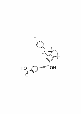 CN(Cc1ccc(F)cc1)c1cc(C(O)C#Cc2ccc(C(=O)O)cc2)cc2c1C(C)(C)CCC2(C)C